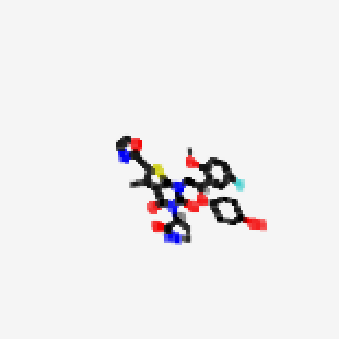 COc1ccc(F)cc1[C@H](Cn1c(=O)n([C@H]2CCNC2=O)c(=O)c2c(C)c(-c3ncco3)sc21)O[C@H]1CC[C@H](O)CC1